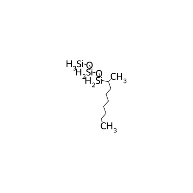 CCCCCCCC(C)[SiH2]O[SiH2]O[SiH3]